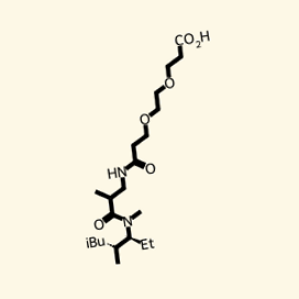 CC[C@@H](C)C(C)[C@H](CC)N(C)C(=O)C(C)CNC(=O)CCOCCOCCC(=O)O